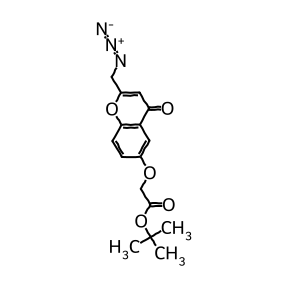 CC(C)(C)OC(=O)COc1ccc2oc(CN=[N+]=[N-])cc(=O)c2c1